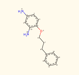 Nc1ccc(OCCCc2ccccc2)c(N)c1